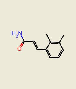 Cc1cccc(C=CC(N)=O)c1C